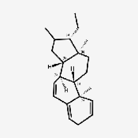 CC[C@H]1C(C)C[C@H]2[C@@H]3C=CC4=CCC=C[C@]4(C)[C@H]3CC[C@]12C